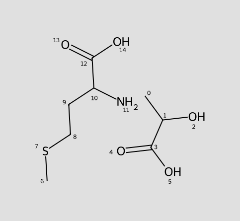 CC(O)C(=O)O.CSCCC(N)C(=O)O